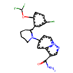 NC(=O)c1cnn2ccc(N3CCCC3c3cc(F)ccc3OC(F)F)cc12